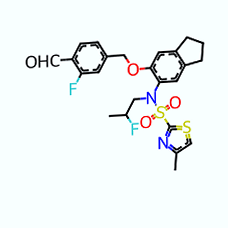 Cc1csc(S(=O)(=O)N(CC(C)F)c2cc3c(cc2OCc2ccc(C=O)c(F)c2)CCC3)n1